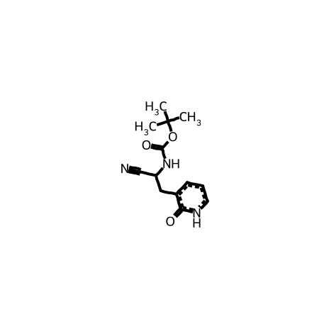 CC(C)(C)OC(=O)NC(C#N)Cc1ccc[nH]c1=O